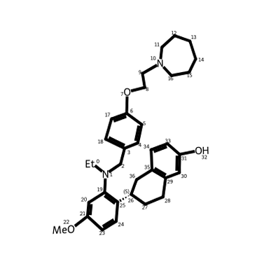 CCN(Cc1ccc(OCCN2CCCCCC2)cc1)c1cc(OC)ccc1[C@H]1CCc2cc(O)ccc2C1